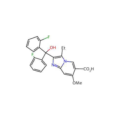 CCc1c(C(O)(c2ccccc2F)c2ccccc2F)nc2cc(OC)c(C(=O)O)cn12